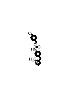 Cn1nccc1Cc1ccc(NC(=O)OCc2ccc(Cl)cc2)cc1